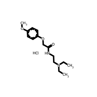 CCN(CC)CCNC(=O)COc1ccc(OC)cc1.Cl